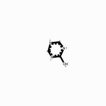 Oc1ncncn1